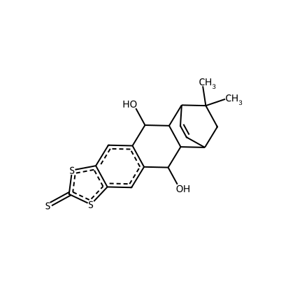 CC1(C)CC2C=CC1C1C(O)c3cc4sc(=S)sc4cc3C(O)C21